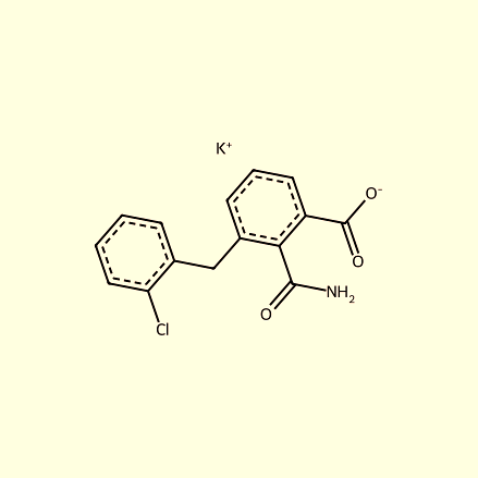 NC(=O)c1c(Cc2ccccc2Cl)cccc1C(=O)[O-].[K+]